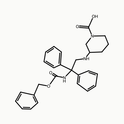 O=C(NC(CNC1CCCN(C(=O)O)C1)(c1ccccc1)c1ccccc1)OCc1ccccc1